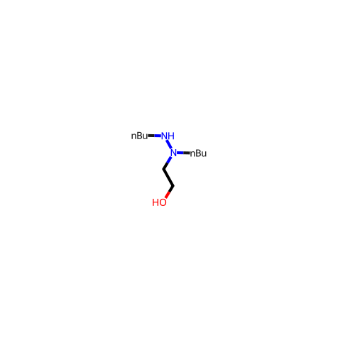 CCCCNN(CCO)CCCC